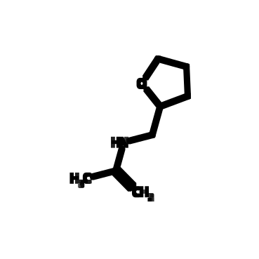 C=C(C)NCC1CCCO1